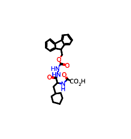 O=C(NNC(=O)C(CC1CCCCC1)NC(=O)C(=O)O)OCC1c2ccccc2-c2ccccc21